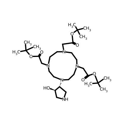 CC(C)(C)OC(=O)CN1CCN(CC(=O)OC(C)(C)C)CCN([C@@H]2CNC[C@H]2O)CCN(CC(=O)OC(C)(C)C)CC1